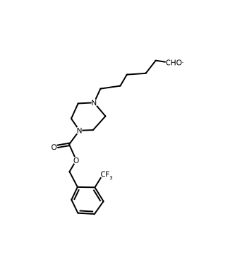 O=[C]CCCCCN1CCN(C(=O)OCc2ccccc2C(F)(F)F)CC1